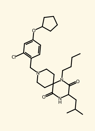 CCCCN1C(=O)C(CC(C)C)NC(=O)C12CCN(Cc1ccc(OC3CCCC3)cc1Cl)CC2